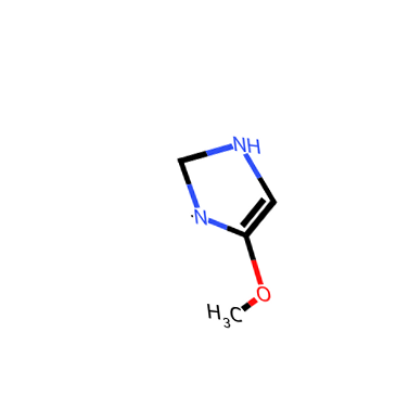 COC1=CNC[N]1